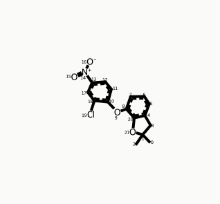 CC1(C)Cc2cccc(Oc3ccc([N+](=O)[O-])cc3Cl)c2O1